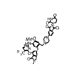 COc1cc(CN2CCN(c3ccc4c(c3)C(=O)N(C3CCC(=O)NC3=O)C4=O)CC2)c(F)cc1Nc1ncc(C(F)(F)F)c(Oc2cccc3c2C(=O)N(C)C3)n1